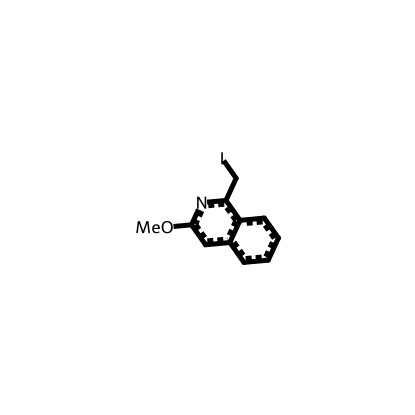 COc1cc2ccccc2c(CI)n1